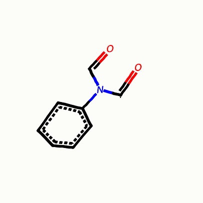 O=[C]N(C=O)c1ccccc1